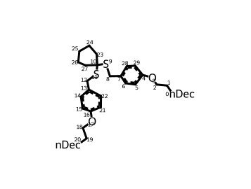 CCCCCCCCCCCCOc1ccc(CSC2(SCc3ccc(OCCCCCCCCCCCC)cc3)CCCCC2)cc1